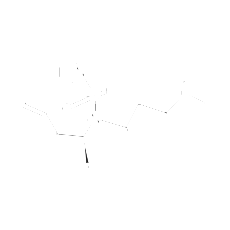 C=CC[C@H](C)N(CCCOC)S(N)(=O)=O